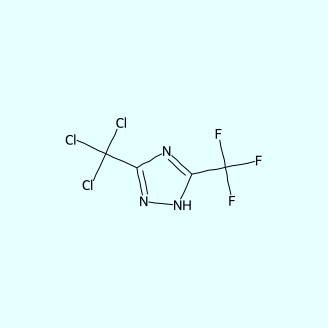 FC(F)(F)c1nc(C(Cl)(Cl)Cl)n[nH]1